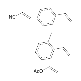 C=CC#N.C=COC(C)=O.C=Cc1ccccc1.C=Cc1ccccc1C